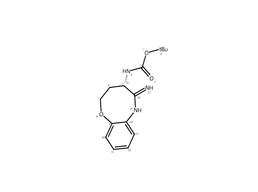 CC(C)(C)OC(=O)N[C@H]1CCOc2ccccc2NC1=N